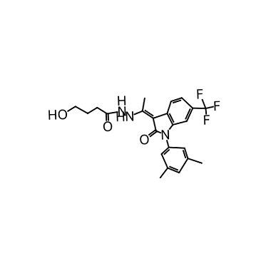 C/C(NNC(=O)CCCO)=C1/C(=O)N(c2cc(C)cc(C)c2)c2cc(C(F)(F)F)ccc21